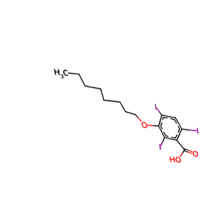 CCCCCCCCOc1c(I)cc(I)c(C(=O)O)c1I